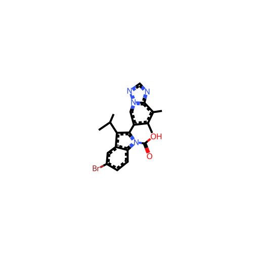 Cc1c(-c2c(C(C)C)c3cc(Br)ccc3n2C(=O)O)cn2ncnc2c1C